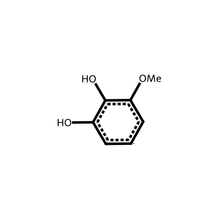 COc1c[c]cc(O)c1O